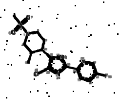 C[C@H]1CN(S(C)(=O)=O)CC[C@H]1c1[nH]c(-c2ccc(F)cn2)nc1Cl